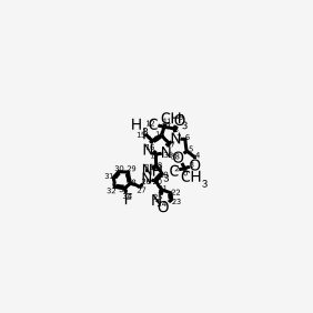 CC1(C)OCC(CN2C(=O)C(C)(C)c3c(I)nc(-c4cc(-c5ccon5)n(Cc5ccccc5F)n4)nc32)O1